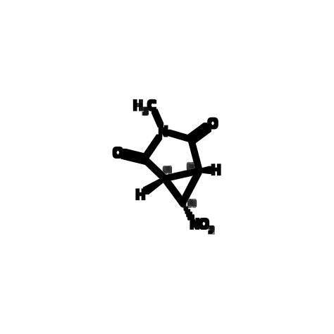 CN1C(=O)[C@@H]2[C@H](C1=O)[C@@H]2[N+](=O)[O-]